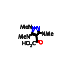 CNc1nn(NC)c(NC)c1C(=O)C(=O)O